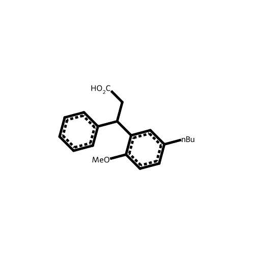 CCCCc1ccc(OC)c(C(CC(=O)O)c2ccccc2)c1